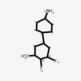 CC1CC(C2CCC(N)CC2)CC(F)C1F